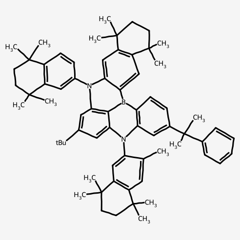 Cc1cc2c(cc1N1c3cc(C(C)(C)c4ccccc4)ccc3B3c4cc5c(cc4N(c4ccc6c(c4)C(C)(C)CCC6(C)C)c4cc(C(C)(C)C)cc1c43)C(C)(C)CCC5(C)C)C(C)(C)CCC2(C)C